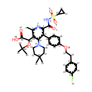 Cc1nc(C(=O)NS(=O)(=O)C2CC2)c(-c2ccc(OCCc3ccc(F)cc3)cc2)c(N2CCC(C)(C)CC2)c1C(OC(C)(C)C)C(=O)O